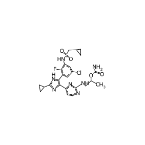 CC(CNc1nccc(-c2nc(C3CC3)[nH]c2-c2cc(Cl)cc(NS(=O)(=O)CC3CC3)c2F)n1)OC(N)=O